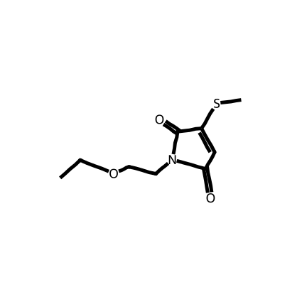 CCOCCN1C(=O)C=C(SC)C1=O